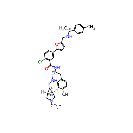 Cc1ccc([C@@H](C)NCc2ccc(-c3ccc(Cl)c(C(=O)N[C@@H](CNC[C@@H]4[C@H]5CN(C(=O)O)C[C@@H]45)Cc4ccc(C#N)cc4)c3)o2)cc1